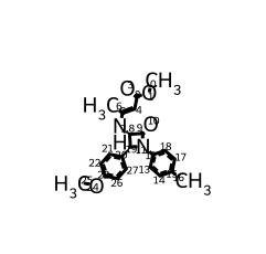 COC(=O)C=C(C)N[C@H]1C(=O)N(c2ccc(C)cc2)[C@H]1c1ccc(OC)cc1